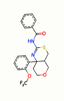 O=C(NC1=NC2(c3ccccc3OC(F)(F)F)CCOCC2CS1)c1ccccc1